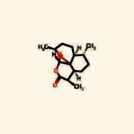 C[C@@H]1CC[C@H]2[C@@H](C)C(=O)O[C@@H]3O[C@@]4(C)CC[C@@H]1C32OO4